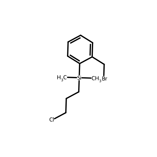 C[Si](C)(CCCCl)c1ccccc1CBr